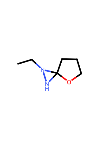 CCN1NC12CCCO2